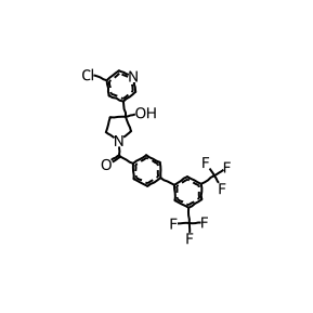 O=C(c1ccc(-c2cc(C(F)(F)F)cc(C(F)(F)F)c2)cc1)N1CCC(O)(c2cncc(Cl)c2)C1